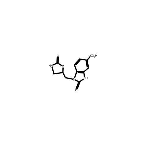 O=C1NCC(Cn2c(=O)[nH]c3cc(S(=O)(=O)O)ccc32)O1